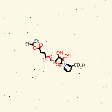 CCC(CC)OC(=O)CCC(=O)OC[C@H]1O[C@@H](N2C=CCC(C(=O)O)=C2)[C@H](O)[C@@H]1O